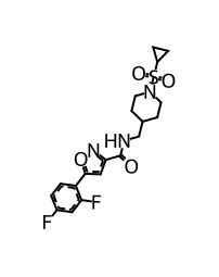 O=C(NCC1CCN(S(=O)(=O)C2CC2)CC1)c1cc(-c2ccc(F)cc2F)on1